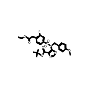 CCOC(=O)Cc1ccc(S(=O)(=O)N(Cc2ccc(OC)cc2)c2scnc2C(=O)OC(C)(C)C)cc1F